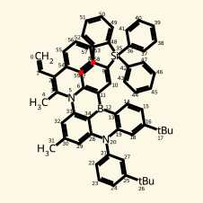 C=C/C(=C(\C)N1c2cc3c(cc2B2c4ccc(C(C)(C)C)cc4N(c4cccc(C(C)(C)C)c4)c4cc(C)cc1c42)[Si](c1ccccc1)(c1ccccc1)c1ccccc1-3)c1ccccc1